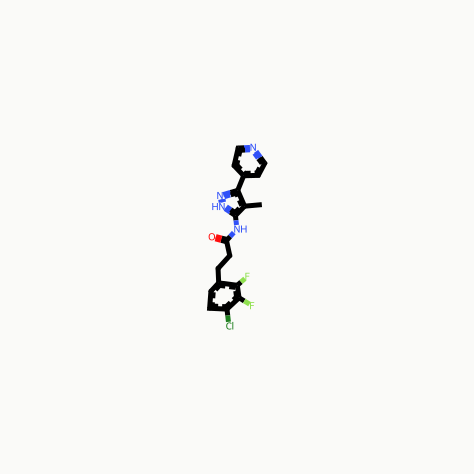 Cc1c(-c2ccncc2)n[nH]c1NC(=O)CCc1ccc(Cl)c(F)c1F